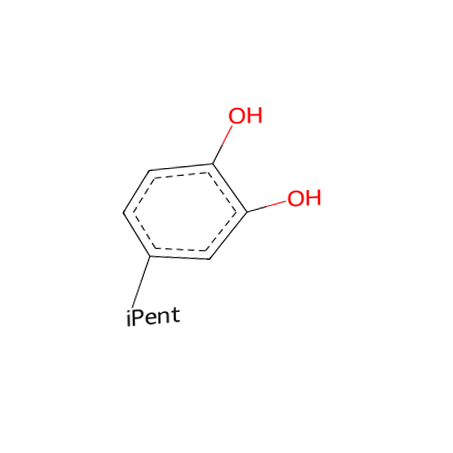 CCCC(C)c1ccc(O)c(O)c1